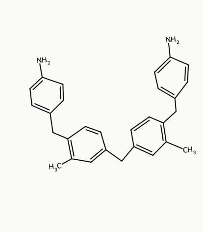 Cc1cc(Cc2ccc(Cc3ccc(N)cc3)c(C)c2)ccc1Cc1ccc(N)cc1